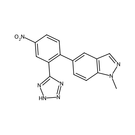 Cn1ncc2cc(-c3ccc([N+](=O)[O-])cc3-c3nn[nH]n3)ccc21